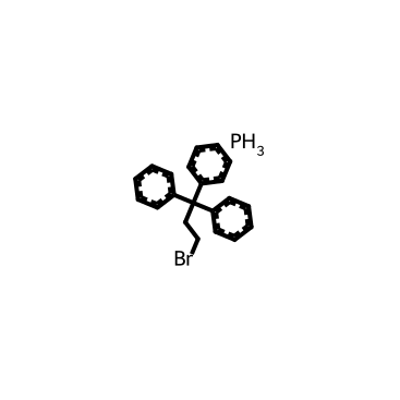 BrCCC(c1ccccc1)(c1ccccc1)c1ccccc1.P